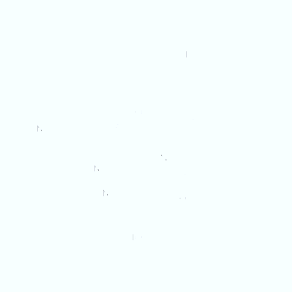 CCCOc1ccccc1C(=O)Nc1c(C(=O)O)nn(Cc2ccccn2)c1C(=O)O